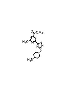 COC(=O)c1cc(-c2nnn(C[C@H]3CC[C@H](N)CC3)n2)nc(C)n1